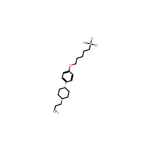 CCC[C@H]1CC[C@H](c2ccc(OCCCCC[Si](Cl)(Cl)Cl)cc2)CC1